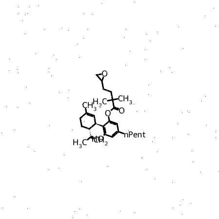 C=C(C)[C@@H]1CCC(C)=C[C@H]1c1c(O)cc(CCCCC)cc1OC(=O)C(C)(C)CCC1CO1